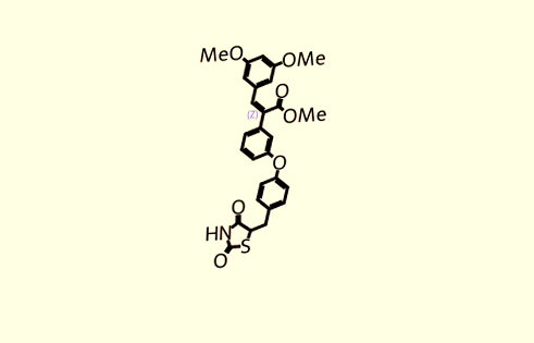 COC(=O)/C(=C\c1cc(OC)cc(OC)c1)c1cccc(Oc2ccc(CC3SC(=O)NC3=O)cc2)c1